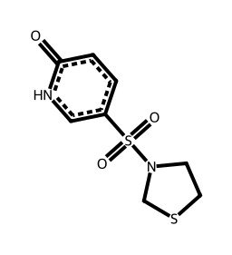 O=c1ccc(S(=O)(=O)N2CCSC2)c[nH]1